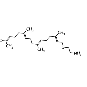 CC(C)=CCCC(C)=CCCC(C)=CCCC(C)=CCSCCN